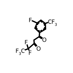 O=C(CC(=O)C(F)(F)C(F)(F)F)c1cc(F)cc(C(F)(F)F)c1